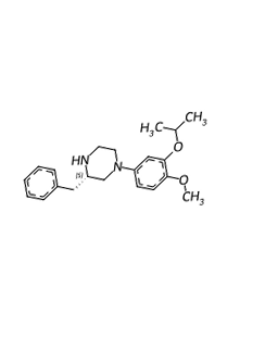 COc1ccc(N2CCN[C@@H](Cc3ccccc3)C2)cc1OC(C)C